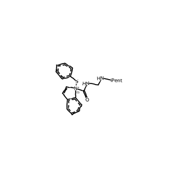 CCCC(C)NCNC(=O)[N@+]1(Sc2ccccc2)C=Cc2ccccc21